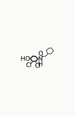 O=C(CC1CCCCC1)Nc1ccc(O)c(Cl)c1Cl